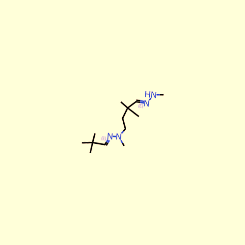 CN/N=C/C(C)(C)CCN(C)/N=C/C(C)(C)C